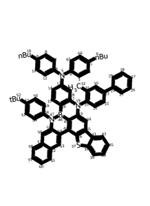 CCCCc1ccc(N(c2ccc(CCCC)cc2)c2ccc3c(c2)N(c2ccc(-c4ccccc4)cc2C)c2cc4c(sc5ccccc54)c4c2B3N(c2ccc(C(C)(C)C)cc2)c2cc3ccccc3cc2-4)cc1